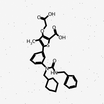 Cc1c(-c2cccc(N(CC3CCCCC3)C(=O)NCc3ccccc3)c2)sc(C(=O)O)c1OCC(=O)O